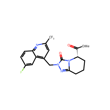 COC(=O)[C@@H]1CCCc2nn(Cc3cc(C(F)(F)F)nc4ccc(F)cc34)c(=O)n21